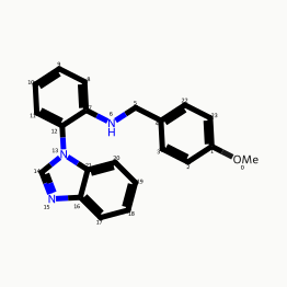 COc1ccc(CNc2ccccc2-n2cnc3ccccc32)cc1